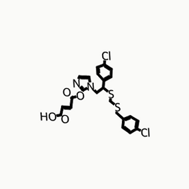 O=C(O)/C=C/C(=O)Oc1nccn1CC(SCSCc1ccc(Cl)cc1)c1ccc(Cl)cc1